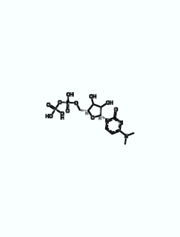 CN(C)c1ccn([C@@H]2O[C@H](COP(=O)(O)OP(=O)(O)O)C(O)C2O)c(=O)n1